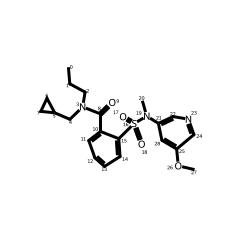 CCCN(CC1CC1)C(=O)c1ccccc1S(=O)(=O)N(C)c1cncc(OC)c1